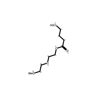 CCCCCCCCCCCC(=O)OCCOCCOC